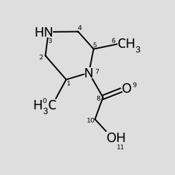 CC1CNCC(C)N1C(=O)CO